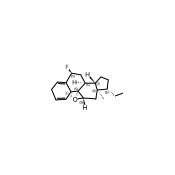 CC[C@H]1CC[C@H]2[C@@H]3C[C@H](F)C4=CCC=C[C@]4(C)[C@@]34O[C@H]4C[C@]12C